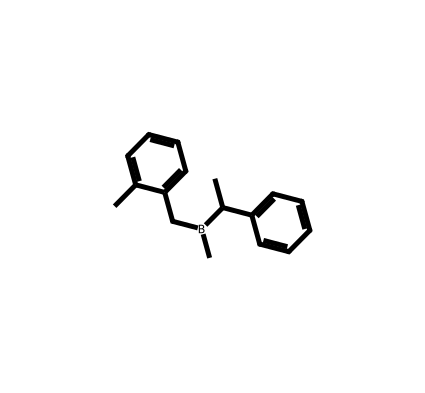 CB(Cc1ccccc1C)C(C)c1ccccc1